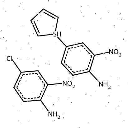 Nc1ccc(Cl)cc1[N+](=O)[O-].Nc1ccc([SH]2C=CC=C2)cc1[N+](=O)[O-]